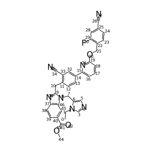 CCn1cncc1Cn1c(Cc2ccc(-c3cccc(OCc4ccc(C#N)cc4F)n3)cc2C#N)nc2ccc(C(=O)OC)cc21